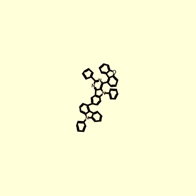 c1ccc(-c2nc(-c3cccc4oc5ccccc5c34)c3c(n2)c2cc(-c4cccc5c4c4ccccc4n5-c4ccccc4)ccc2n3-c2ccccc2)cc1